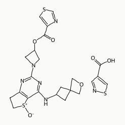 O=C(O)c1cnsc1.O=C(OC1CN(c2nc3c(c(NC4CC5(COC5)C4)n2)[S+]([O-])CC3)C1)c1cscn1